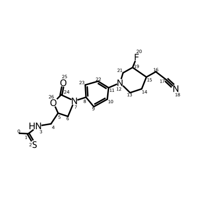 CC(=S)NCC1CN(c2ccc(N3CCC(CC#N)C(F)C3)cc2)C(=O)O1